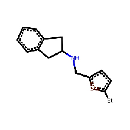 CCc1ccc(CNC2Cc3ccccc3C2)s1